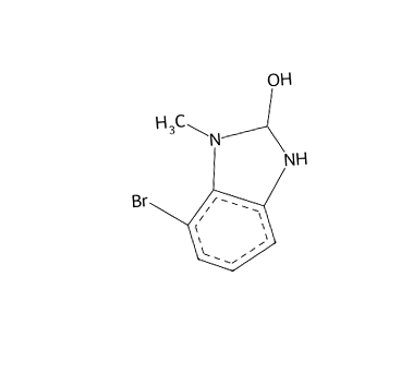 CN1c2c(Br)cccc2NC1O